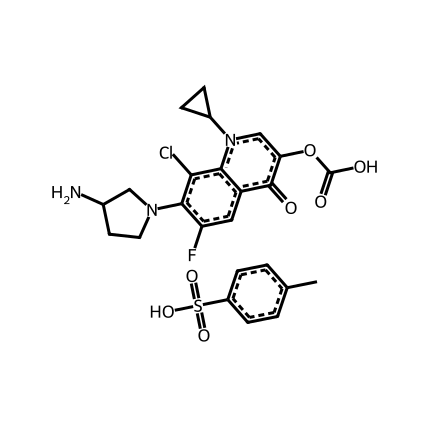 Cc1ccc(S(=O)(=O)O)cc1.NC1CCN(c2c(F)cc3c(=O)c(OC(=O)O)cn(C4CC4)c3c2Cl)C1